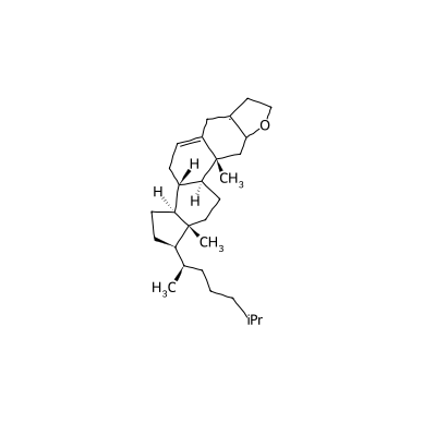 CC(C)CCC[C@@H](C)[C@H]1CC[C@H]2[C@@H]3CC=C4C[C]5CCOC5C[C@]4(C)[C@H]3CC[C@]12C